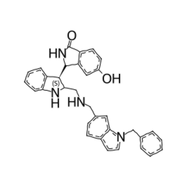 O=C1NC([C@@H]2c3ccccc3NC2CNCc2ccc3ccn(Cc4ccccc4)c3c2)c2cc(O)ccc21